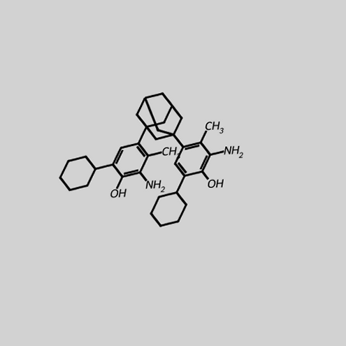 Cc1c(C23CC4CC(C2)CC(c2cc(C5CCCCC5)c(O)c(N)c2C)(C4)C3)cc(C2CCCCC2)c(O)c1N